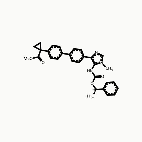 COC(=O)C1(c2ccc(-c3ccc(-c4ncn(C)c4NC(=O)O[C@H](C)c4ccccc4)cc3)cc2)CC1